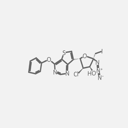 [N-]=[N+]=N[C@]1(CI)O[C@@H](c2csc3c(Oc4ccccc4)ncnc23)[C@H](Cl)[C@@H]1O